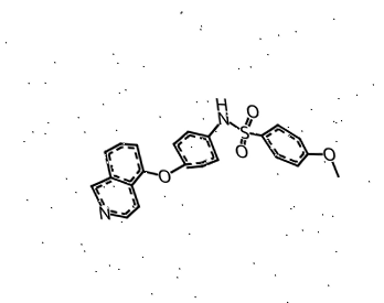 COc1ccc(S(=O)(=O)Nc2ccc(Oc3cccc4cnccc34)cc2)cc1